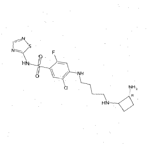 N[C@@H]1CCC1NCCCCNc1cc(F)c(S(=O)(=O)Nc2ncns2)cc1Cl